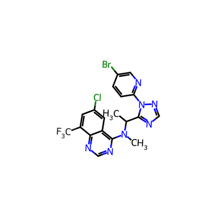 CC(c1ncnn1-c1ccc(Br)cn1)N(C)c1ncnc2c(C(F)(F)F)cc(Cl)cc12